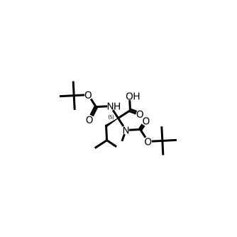 CC(C)C[C@@](NC(=O)OC(C)(C)C)(C(=O)O)N(C)C(=O)OC(C)(C)C